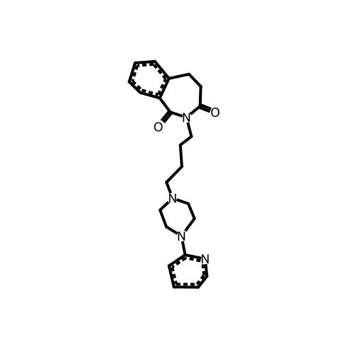 O=C1CCc2ccccc2C(=O)N1CCCCN1CCN(c2ccccn2)CC1